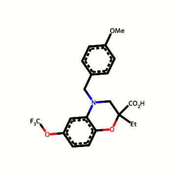 CCC1(C(=O)O)CN(Cc2ccc(OC)cc2)c2cc(OC(F)(F)F)ccc2O1